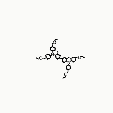 C=COCc1ccc(N(c2ccc(COC=C)cc2)c2ccc(-c3ccc(N(c4ccc(COC=C)cc4)c4ccc(COC=C)cc4)c(C)c3)cc2C)cc1